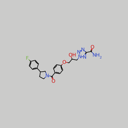 NC(=O)c1nnn(CC(O)COc2ccc(C(=O)N3CCC(c4ccc(F)cc4)C3)cc2)n1